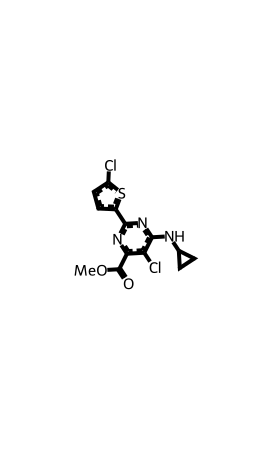 COC(=O)c1nc(-c2ccc(Cl)s2)nc(NC2CC2)c1Cl